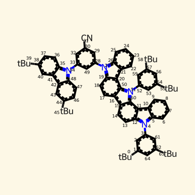 CC(C)(C)c1cc(-n2c3ccccc3c3c2ccc2c4ccc5c(c6ccccc6n5-c5cc(C#N)cc(-n6c7ccc(C(C)(C)C)cc7c7cc(C(C)(C)C)ccc76)c5)c4n(-c4cc(C(C)(C)C)cc(C(C)(C)C)c4)c23)cc(C(C)(C)C)c1